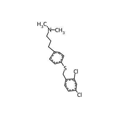 CN(C)CCCc1ccc(SCc2ccc(Cl)cc2Cl)cc1